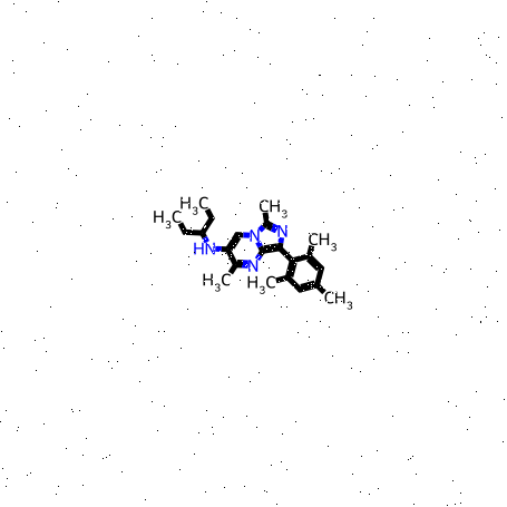 CCC(CC)Nc1cn2c(C)nc(-c3c(C)cc(C)cc3C)c2nc1C